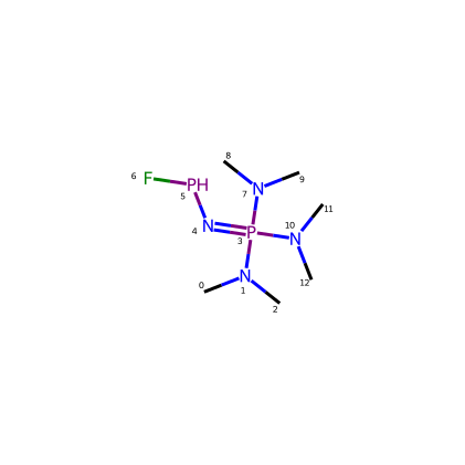 CN(C)P(=NPF)(N(C)C)N(C)C